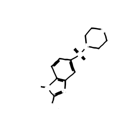 Cc1nc2cc(S(=O)(=O)N3CCOCC3)ccc2n1C